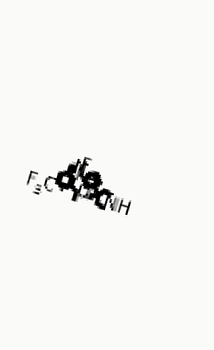 CC(OCC1(c2ccc(F)cc2)CCNCC1)c1cc(C(F)(F)F)cc2cn[nH]c12